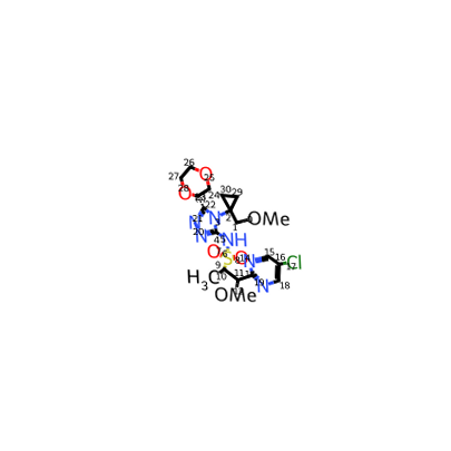 COCC1(n2c(NS(=O)(=O)C(C)C(OC)c3ncc(Cl)cn3)nnc2[C@H]2COCCO2)CC1